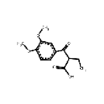 CCC(C(=O)O)C(=O)c1ccc(OC)c(OC)c1